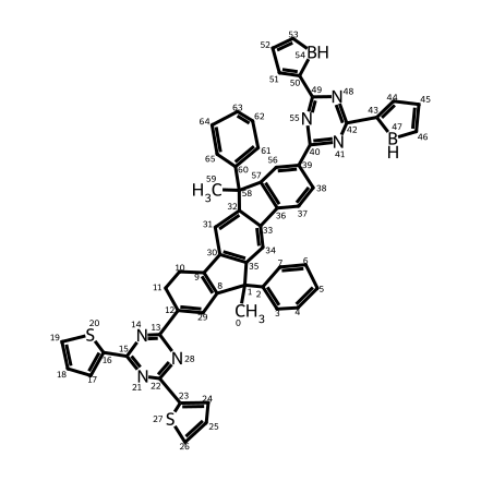 CC1(c2ccccc2)C2=C(CCC(c3nc(-c4cccs4)nc(-c4cccs4)n3)=C2)c2cc3c(cc21)-c1ccc(-c2nc(C4=CC=CB4)nc(C4=CC=CB4)n2)cc1C3(C)c1ccccc1